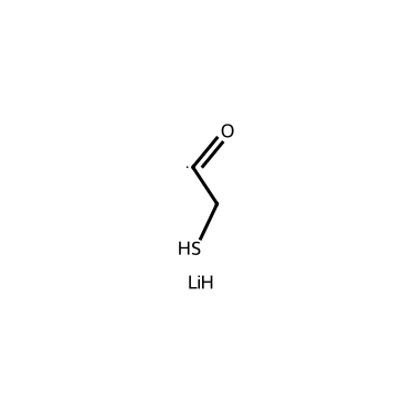 O=[C]CS.[LiH]